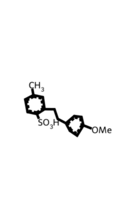 COc1ccc(CCc2cc(C)ccc2S(=O)(=O)O)cc1